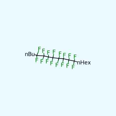 CCCCCCC(F)(F)C(F)(F)C(F)(F)C(F)(F)C(F)(F)C(F)(F)C(F)(F)C(F)(F)CCCC